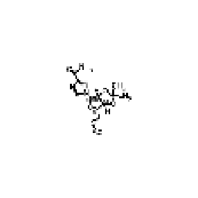 CC(=O)SC[C@H]1O[C@@H](n2cnc(C(N)=O)n2)[C@@H]2OC(C)(C)O[C@@H]21